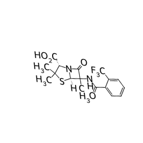 CC1(C)S[C@H]2N(C(=O)C2(C)NC(=O)c2ccccc2C(F)(F)F)[C@H]1C(=O)O